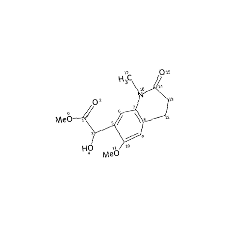 COC(=O)C(O)c1cc2c(cc1OC)CCC(=O)N2C